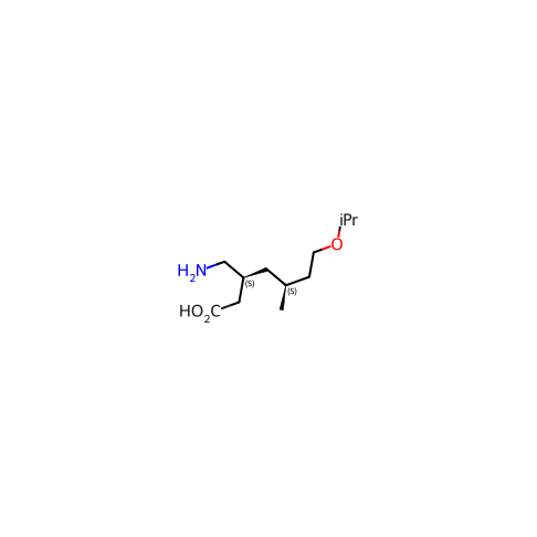 CC(C)OCC[C@@H](C)C[C@H](CN)CC(=O)O